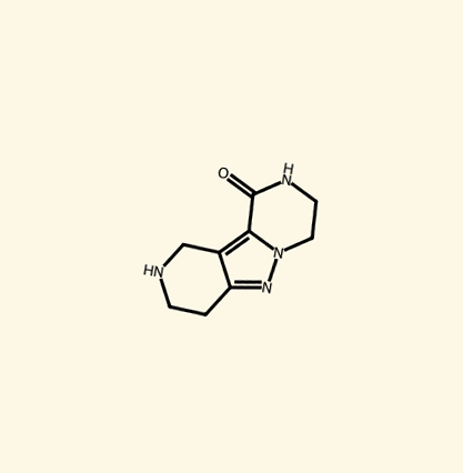 O=C1NCCn2nc3c(c21)CNCC3